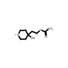 CC(=O)OCCC1(O)CCOCC1